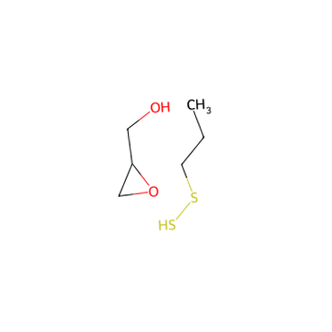 CCCSS.OCC1CO1